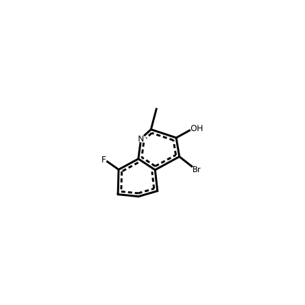 Cc1nc2c(F)cccc2c(Br)c1O